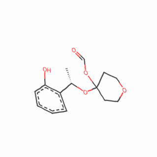 C[C@H](OC1(OC=O)CCOCC1)c1ccccc1O